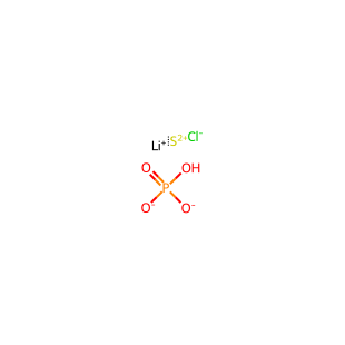 O=P([O-])([O-])O.[Cl-].[Li+].[S+2]